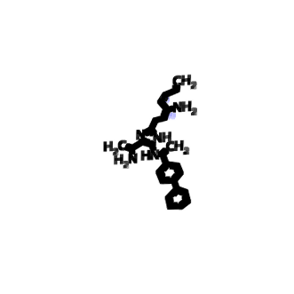 C=C/C=C\C(N)=C/Cc1nc(C(=C)N)c(NC(=C)c2ccc(-c3ccccc3)cc2)[nH]1